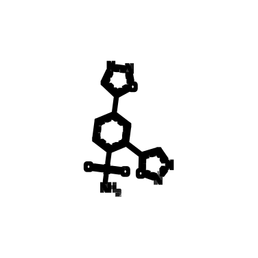 NS(=O)(=O)c1ccc(-c2cnno2)cc1-c1cnno1